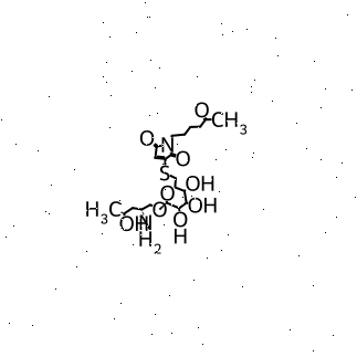 CC(=O)CCCCN1C(=O)C=C(SCC2O[C@H](OC[C@H](N)C[C@@H](C)O)C(O)C(O)[C@H]2O)C1=O